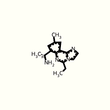 CCc1nc2c([C@@H](C)N)cc(C)cc2c2nccn12